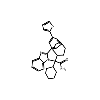 NC(=O)C(C1CCCCC1)(C1CCCCC1)n1c(-c2cccc(-c3cccs3)c2)nc2ccccc21